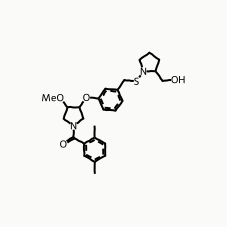 COC1CN(C(=O)c2cc(C)ccc2C)CC1Oc1cccc(CSN2CCCC2CO)c1